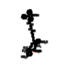 COCC[N+]1=C(/C=C/C=C2/N(CCCCCC(=O)NCCNC(=O)c3ccc(C(=O)OC)c(P(c4ccccc4)c4ccccc4)c3)c3ccc(S(=O)(=O)O)cc3C2(C)CCCS(=O)(=O)O)C(C)(C)c2cc(S(=O)(=O)O)ccc21